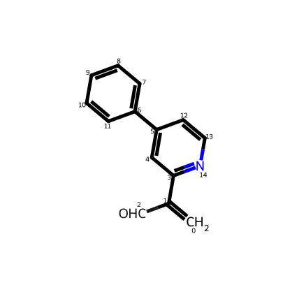 C=C(C=O)c1cc(-c2ccccc2)ccn1